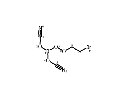 N#COB(OC#N)OOCCBr